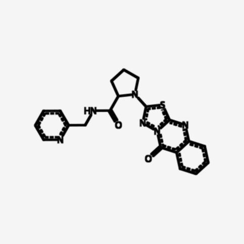 O=C(NCc1ccccn1)C1CCCN1c1nn2c(=O)c3ccccc3nc2s1